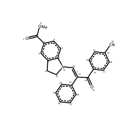 COC(=O)c1ccc2c(c1)CCN2/C=C(/C(=O)c1ccc(C#N)cc1)c1ccccc1